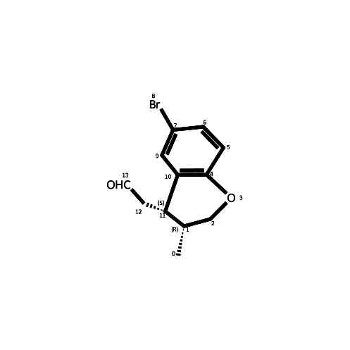 C[C@H]1COc2ccc(Br)cc2[C@H]1CC=O